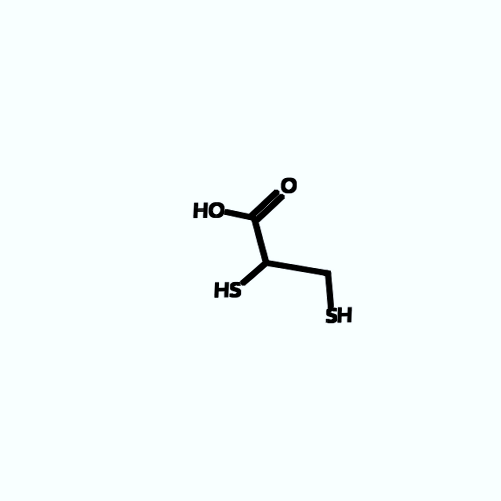 O=C(O)C(S)CS